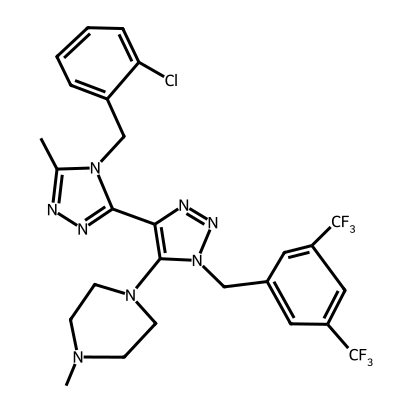 Cc1nnc(-c2nnn(Cc3cc(C(F)(F)F)cc(C(F)(F)F)c3)c2N2CCN(C)CC2)n1Cc1ccccc1Cl